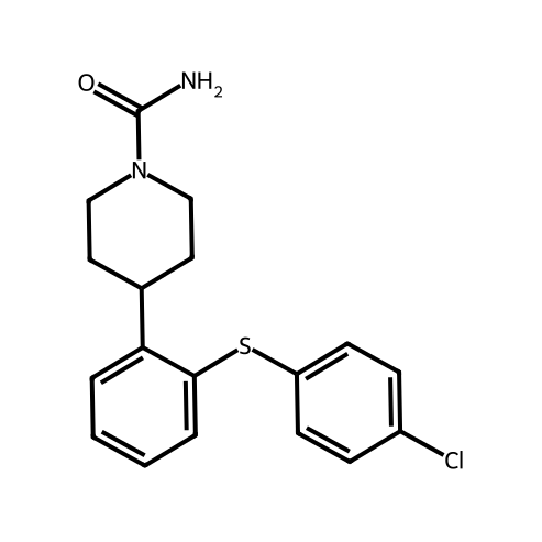 NC(=O)N1CCC(c2ccccc2Sc2ccc(Cl)cc2)CC1